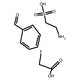 NCCS(=O)(=O)O.O=C(O)CF.O=Cc1ccccc1